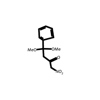 COC(CC(=O)C[N+](=O)[O-])(OC)c1ccccc1